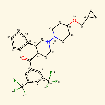 O=C(c1cc(C(F)(F)F)cc(C(F)(F)F)c1)[C@@H]1CCN(N2CCC(OCC3CC3)CC2)C[C@@H]1c1ccccc1